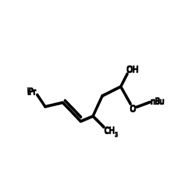 CCCCOC(O)CC(C)/C=C/CC(C)C